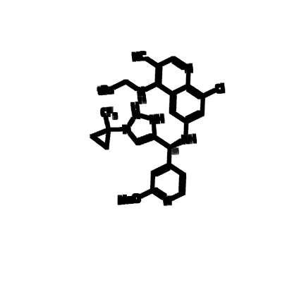 COc1cc([C@H](Nc2cc(Cl)c3ncc(C#N)c(NCC(C)(C)C)c3c2)C2=CN(C3(C(F)(F)F)CC3)NN2)ccn1